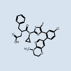 CN1CCOc2cc(-c3ccc(Cl)cc3-c3nc(N(C(=O)[C@@H](CC(=O)O)Cc4ccccc4)C4CC4)sc3F)cnc21